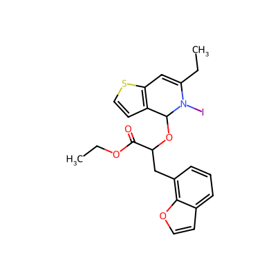 CCOC(=O)C(Cc1cccc2ccoc12)OC1c2ccsc2C=C(CC)N1I